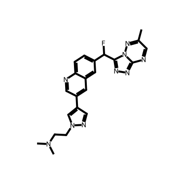 Cc1cnc2nnc(C(F)c3ccc4ncc(-c5cnn(CCN(C)C)c5)cc4c3)n2n1